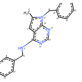 Cc1cc2c(NCc3ccccc3)ncnc2n1Cc1ccccc1